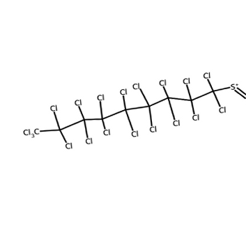 O=[S+]C(Cl)(Cl)C(Cl)(Cl)C(Cl)(Cl)C(Cl)(Cl)C(Cl)(Cl)C(Cl)(Cl)C(Cl)(Cl)C(Cl)(Cl)C(Cl)(Cl)Cl